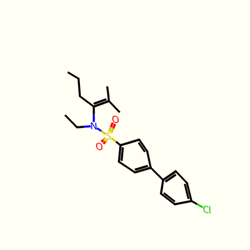 CCCC(=C(C)C)N(CC)S(=O)(=O)c1ccc(-c2ccc(Cl)cc2)cc1